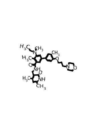 CCN(C)c1cc(-c2ccc(OCCCN3CCOCC3)c(C)c2)cc(C(=O)NCc2c(C)cc(C)[nH]c2=O)c1C